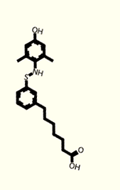 Cc1cc(O)cc(C)c1NSc1cccc(CCCCCCC(=O)O)c1